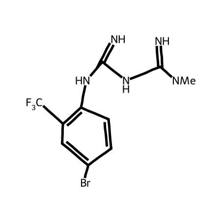 CNC(=N)NC(=N)Nc1ccc(Br)cc1C(F)(F)F